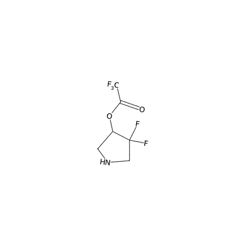 O=C(OC1CNCC1(F)F)C(F)(F)F